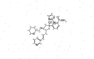 NC(=O)c1cccc(C(CCCC=Cc2cccnc2)(CCOCC2CCCCO2)C(=O)O)c1-c1ncco1